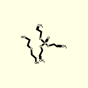 C=CCOP(=O)(OCC=C)OCC=C.OCCOCCO